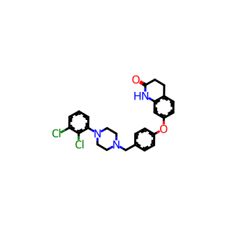 O=C1CCc2ccc(Oc3ccc(CN4CCN(c5cccc(Cl)c5Cl)CC4)cc3)cc2N1